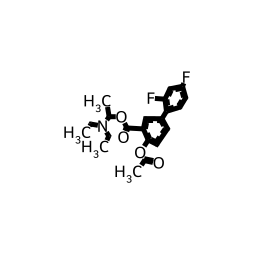 CCN(CC)C(C)OC(=O)c1cc(-c2ccc(F)cc2F)ccc1OC(C)=O